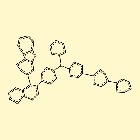 c1ccc(-c2ccc(-c3ccc(N(c4ccccc4)c4ccc(-c5ccc6ccccc6c5-c5ccc6c(c5)oc5ccccc56)cc4)cc3)cc2)cc1